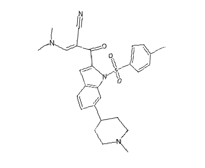 Cc1ccc(S(=O)(=O)n2c(C(=O)C(C#N)=CN(C)C)cc3ccc(C4CCN(C)CC4)cc32)cc1